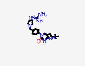 CC(C)(C)c1cc2cn(-c3ccc(CN4CC[C@@H](NC(=N)N)C4)cc3)c(=O)nc2[nH]1